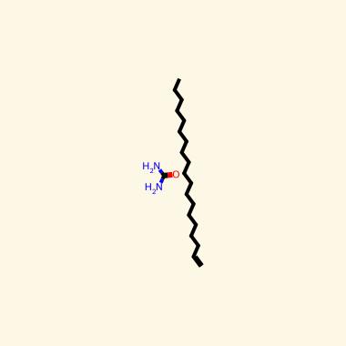 C=CCCCCCCCCCCCCCCCCC.NC(N)=O